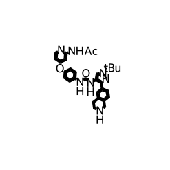 CC(=O)Nc1cc(Oc2ccc(NC(=O)Nc3cn(C(C)(C)C)nc3-c3ccc4c(c3)CCNC4)cc2)ccn1